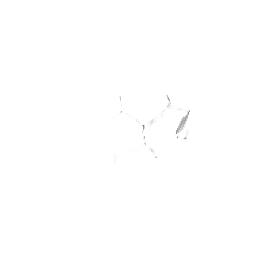 CC(F)c1c(F)cncc1S